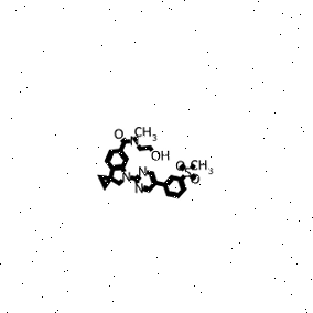 CN(CCO)C(=O)c1ccc2c(c1)N(c1ncc(-c3cccc(S(C)(=O)=O)c3)cn1)CC21CC1